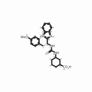 COc1ccc(C[C@@H](NC(=O)NC2CCCC(C(=O)O)C2)c2nc3ccccc3[nH]2)cc1